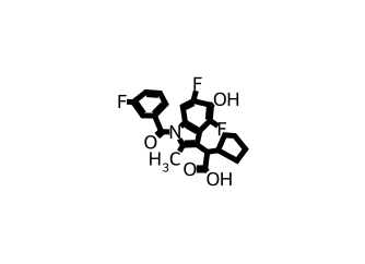 Cc1c(C(C(=O)O)C2CCCC2)c2c(F)c(O)c(F)cc2n1C(=O)c1cccc(F)c1